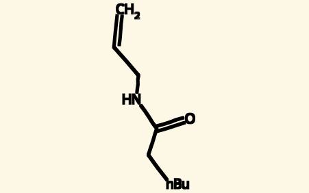 [CH2]CCCCC(=O)NCC=C